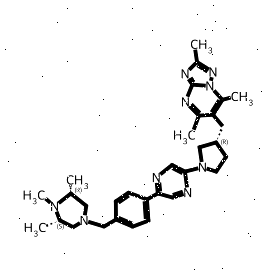 Cc1nc2nc(C)c(C[C@@H]3CCN(c4cnc(-c5ccc(CN6C[C@@H](C)N(C)[C@@H](C)C6)cc5)cn4)C3)c(C)n2n1